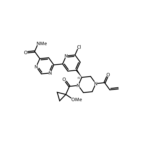 C=CC(=O)N1CCN(C(=O)C2(OC)CC2)[C@@H](c2cc(Cl)nc(-c3cc(C(=O)NC)ncn3)c2)C1